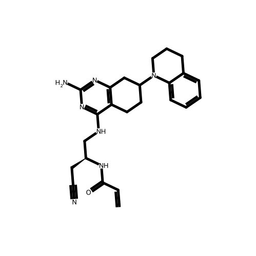 C=CC(=O)N[C@@H](CC#N)CNc1nc(N)nc2c1CCC(N1CCCc3ccccc31)C2